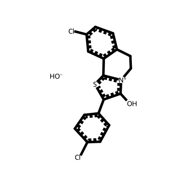 Oc1c(-c2ccc(Cl)cc2)sc2[n+]1CCc1ccc(Cl)cc1-2.[OH-]